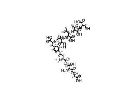 CC(C)C(N)C(=O)O.CC(C)CC(N)C(=O)O.CC(C)CC(N)C(=O)O.CC(O)C(N)C(=O)O.CC(O)C(N)C(=O)O.NC(CS)C(=O)O.NC(Cc1ccccc1)C(=O)O.NCC(=O)O